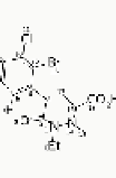 CCN(C(=O)Cc1c(F)ccc(Cl)c1Br)N(C)C(C)C(=O)O